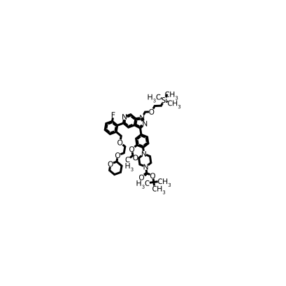 CC(=O)Oc1cc(-c2nn(COCC[Si](C)(C)C)c3cnc(-c4c(F)cccc4COCCOC4CCCCO4)cc23)ccc1N1CCN(C(=O)OC(C)(C)C)CC1